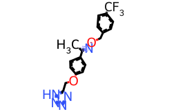 C/C(=N\OCc1ccc(C(F)(F)F)cc1)c1ccc(OCc2nnn[nH]2)cc1